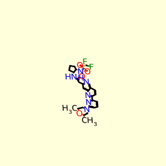 C[C@@H]1CN(c2cccc(-c3ccc4cnc(CC(=O)N[C@@H]5CCC[C@@H]5NS(=O)(=O)C(F)F)cc4n3)n2)C[C@H](C)O1